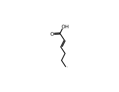 [CH2]CCC=CC(=O)O